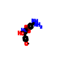 N=C(N)c1ccc(S(=O)(=O)NCC(O)c2ccc([O])cc2)cc1